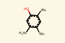 CC(C)(C)c1cc(C(C)(C)C)c([AsH2])cc1O